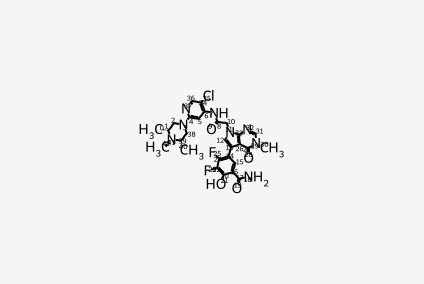 C[C@@H]1CN(c2cc(NC(=O)Cn3cc(-c4cc(C(N)=O)c(O)c(F)c4F)c4c(=O)n(C)cnc43)c(Cl)cn2)C[C@H](C)N1C